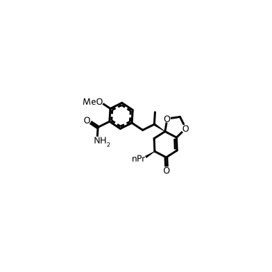 CCC[C@H]1C[C@]2(C(C)Cc3ccc(OC)c(C(N)=O)c3)OCOC2=CC1=O